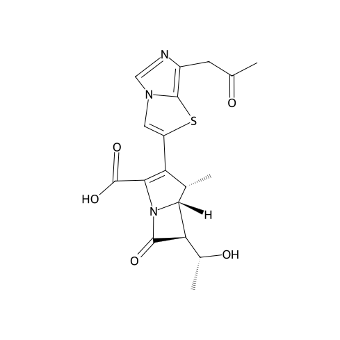 CC(=O)Cc1ncn2cc(C3=C(C(=O)O)N4C(=O)[C@H]([C@@H](C)O)[C@H]4[C@H]3C)sc12